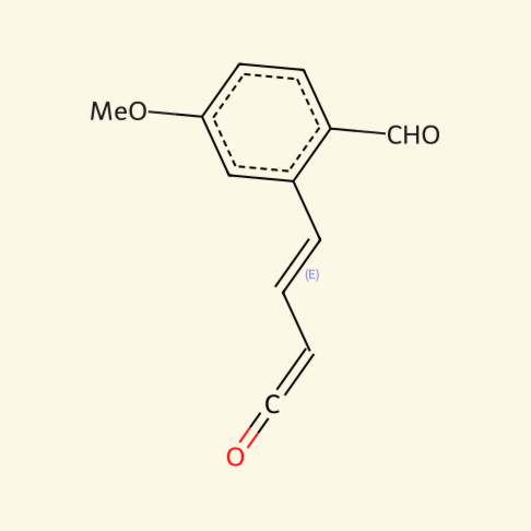 COc1ccc(C=O)c(/C=C/C=C=O)c1